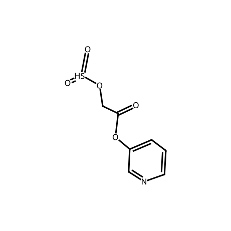 O=C(CO[SH](=O)=O)Oc1cccnc1